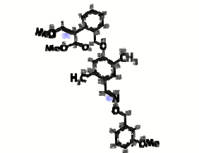 CO/C=C(\C(=O)OC)c1ccccc1COc1cc(C)c(/C=N/OCc2cccc(OC)c2)cc1C